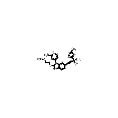 COCCOC1Nc2ccc(C#C[C@@](C)(O)c3noc(C)n3)cc2N1c1ccnc(N)n1